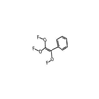 FOC(OF)=C(OF)c1ccccc1